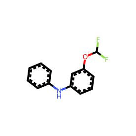 FC(F)Oc1cccc(Nc2ccccc2)c1